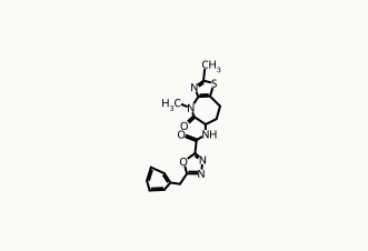 Cc1nc2c(s1)CCC(NC(=O)c1nnc(Cc3ccccc3)o1)C(=O)N2C